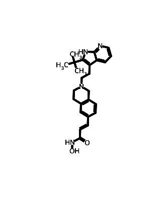 CC(C)(C)c1[nH]c2ncccc2c1CCN1CCc2cc(C=CC(=O)NO)ccc2C1